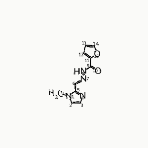 Cn1ccnc1/C=N/NC(=O)c1ccco1